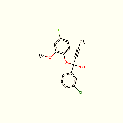 CC#CC(O)(Oc1ccc(F)cc1OC)c1cccc(Cl)c1